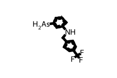 FC(F)(F)c1ccc(CNc2c[c]cc([AsH2])c2)cc1